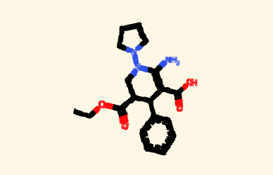 CCOC(=O)C1CN(N2CCCC2)C(N)=C(C(=O)O)C1c1ccccc1